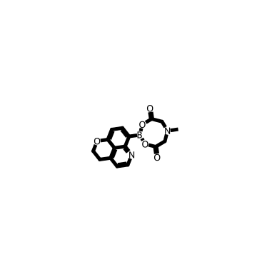 CN1CC(=O)OB(c2ccc3c4c(ccnc24)CCO3)OC(=O)C1